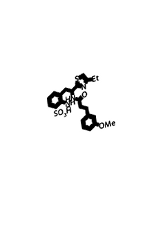 CCc1csc(C(Cc2ccccc2NS(=O)(=O)O)NC(=O)CCc2cccc(OC)c2)n1